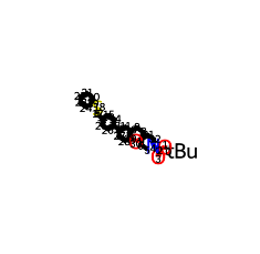 CC(C)(C)OC(=O)N1CCC2(CCc3cc(-c4ccc(CSc5ccccc5)cc4)ccc3O2)CC1